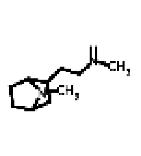 CNCCC1CC2CCC1N2C